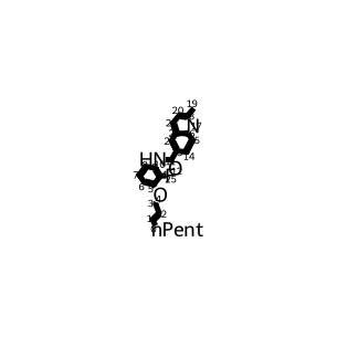 CCCCCC=CCOc1cccc(NC(=O)c2ccc3nc(C)ccc3c2)c1F